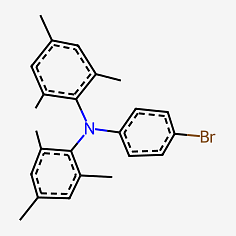 Cc1cc(C)c(N(c2ccc(Br)cc2)c2c(C)cc(C)cc2C)c(C)c1